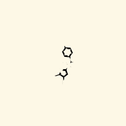 O=S(=O)(Nc1ccc(F)cc1)c1cc(Br)c(Cl)s1